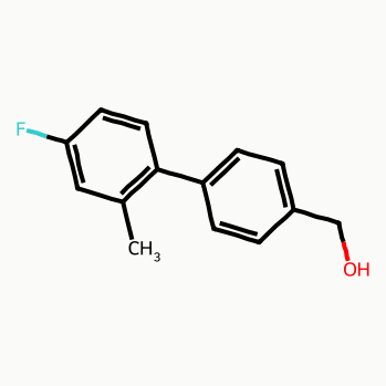 Cc1cc(F)ccc1-c1ccc(CO)cc1